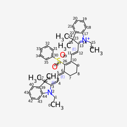 CCN1/C(=C/C=C2\CCCC(/C=C/C3=[N+](CC)c4ccccc4C3(C)C)=C2S(=O)(=O)c2ccccc2)C(C)(C)c2ccccc21